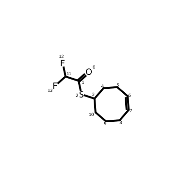 O=C(SC1CCC=CCCC1)C(F)F